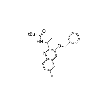 CC(N[S@@+]([O-])C(C)(C)C)c1nc2ccc(F)cc2cc1OCc1ccccc1